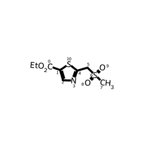 CCOC(=O)c1cnc(CS(C)(=O)=O)s1